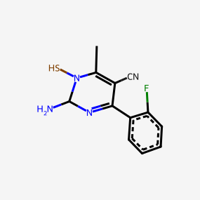 CC1=C(C#N)C(c2ccccc2F)=NC(N)N1S